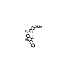 COc1ccc(CNC(=O)c2ccc3c(c2)C(=O)/C(=C/c2ccccc2)C(=O)N3)cc1